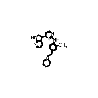 Cc1cc(CCN2CCCCC2)ccc1Nc1nccc(C2CNc3ncccc32)n1